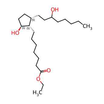 CCCCCC(O)CC[C@H]1CC[C@H](O)[C@H]1CCCCCCC(=O)OCC